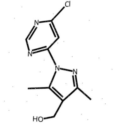 Cc1nn(-c2cc(Cl)ncn2)c(C)c1CO